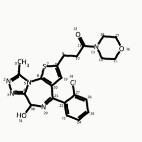 Cc1nnc2n1-c1sc(CCC(=O)N3CCOCC3)cc1C(c1ccccc1Cl)=NC2O